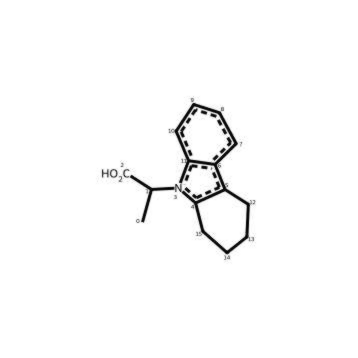 CC(C(=O)O)n1c2c(c3ccccc31)CCCC2